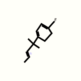 C/C=C/C(C)(C)C1=CC=C(F)CC1